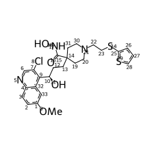 COc1ccc2ncc(Cl)c([C@H](O)CCC3(C(=O)NO)CCN(CCSc4cccs4)CC3)c2c1